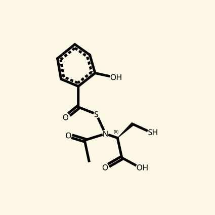 CC(=O)N(SC(=O)c1ccccc1O)[C@@H](CS)C(=O)O